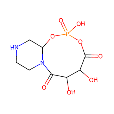 O=C1OP(=O)(O)OC2CNCCN2C(=O)C(O)C1O